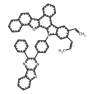 C=Cc1cc2c3c4ccccc4c4c5ccc6ccccc6c5oc4c3n(-c3ccc(-c4nc5sc6ccccc6c5nc4-c4ccccc4)cc3)c2cc1/C=C\C